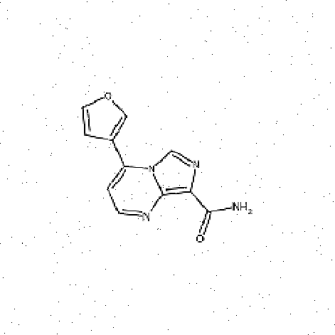 NC(=O)c1ncn2c(-c3ccoc3)ccnc12